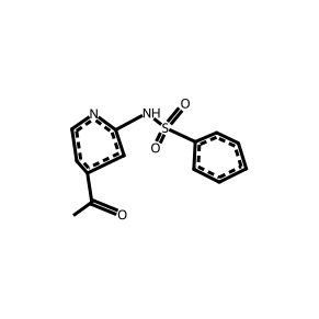 CC(=O)c1ccnc(NS(=O)(=O)c2ccccc2)c1